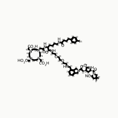 N#C[C@@H]1CC(F)(F)CN1C(=O)[C@@H]1C[C@@H](CC(=O)N2Cc3cccc(CNCCOCCOCCNC(=O)C(CCCCNC(=O)CCCc4ccc(I)cc4)NC(=O)CN4CCN(CC(=O)O)CCN(CC(=O)O)CCN(CC(=O)O)CC4)c3C2)C(=O)N1